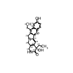 CCc1c2c(nc3ccc(O)cc13)C1=CC3=C(CNC(=O)[C@]3(O)CC)CN1C2